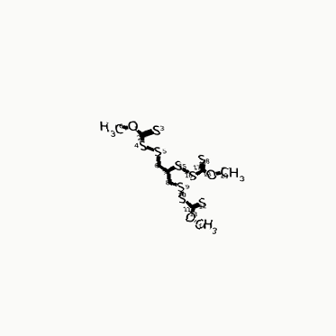 COC(=S)SSCC(CSSC(=S)OC)SSC(=S)OC